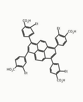 CCc1cc(-c2cc(-c3ccc(C(=O)O)c(CC)c3)c3ccc4c(-c5ccc(C(=O)O)c(CC)c5)cc(-c5ccc(C(=O)O)c(CC)c5)c5ccc2c3c54)ccc1C(=O)O